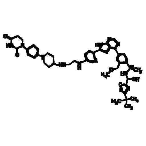 COCc1cc(-c2ncnc3[nH]c(-c4ccc(NCCNCC5CCN(c6ccc(N7CCC(=O)NC7=O)cc6)CC5)cn4)cc23)ccc1[C@@H](C)NC(O)c1nc(C(C)(C)C)no1